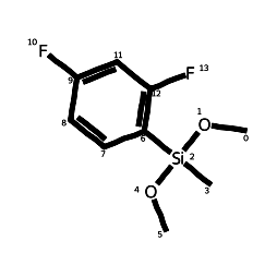 CO[Si](C)(OC)c1ccc(F)cc1F